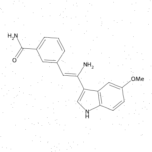 COc1ccc2[nH]cc(/C(N)=C/c3cccc(C(N)=O)c3)c2c1